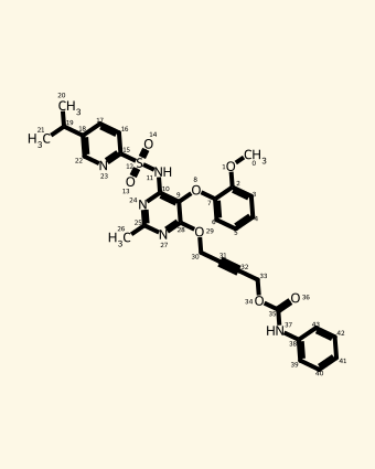 COc1ccccc1Oc1c(NS(=O)(=O)c2ccc(C(C)C)cn2)nc(C)nc1OCC#CCOC(=O)Nc1ccccc1